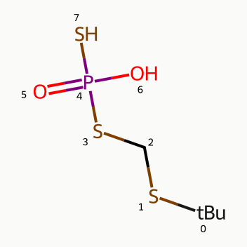 CC(C)(C)SCSP(=O)(O)S